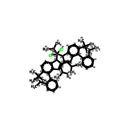 CC(C)CC1=Cc2c(ccc(C(C)(C)C)c2-c2ccccc2C(C)C)[CH]1[Zr]([Cl])([Cl])([CH]1C(CC(C)C)=Cc2c1ccc(C(C)(C)C)c2-c1ccccc1C(C)C)[SiH](C)C